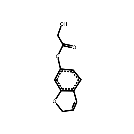 O=C(CO)Oc1ccc2c(c1)OCC=C2